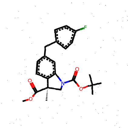 COC(=O)[C@]1(C)CN(C(=O)OC(C)(C)C)c2cc(Cc3ccc(F)cc3)ccc21